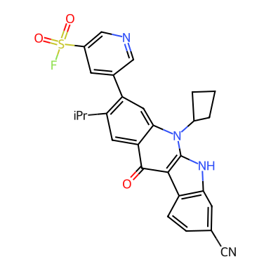 CC(C)c1cc2c(=O)c3c4ccc(C#N)cc4[nH]c3n(C3CCC3)c2cc1-c1cncc(S(=O)(=O)F)c1